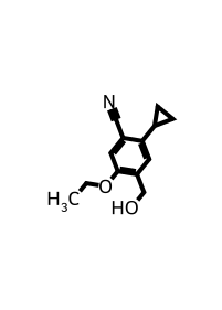 CCOc1cc(C#N)c(C2CC2)cc1CO